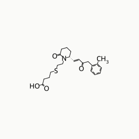 Cc1ccccc1CC(=O)/C=C/[C@H]1CCCC(=O)N1CCSCCCC(=O)O